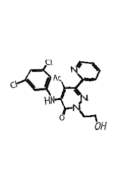 CC(=O)c1c(-c2ccccn2)nn(CCO)c(=O)c1Nc1cc(Cl)cc(Cl)c1